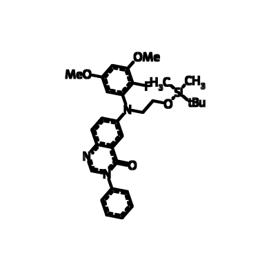 COc1cc(OC)c(F)c(N(CCO[Si](C)(C)C(C)(C)C)c2ccc3ncn(-c4ccccc4)c(=O)c3c2)c1